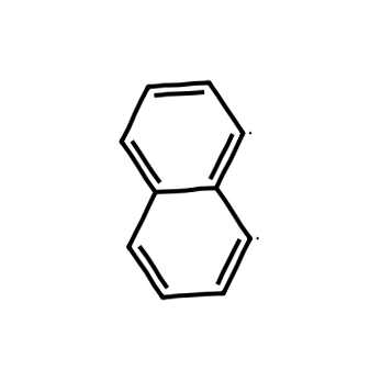 [c]1cccc2ccc[c]c12